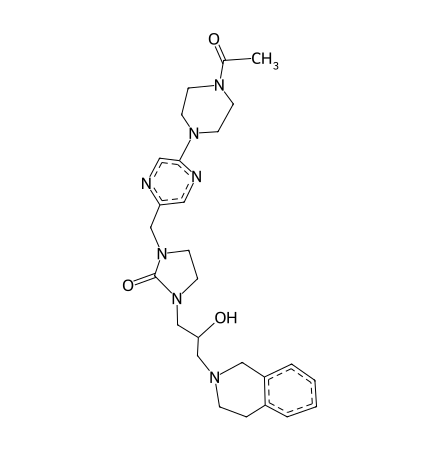 CC(=O)N1CCN(c2cnc(CN3CCN(CC(O)CN4CCc5ccccc5C4)C3=O)cn2)CC1